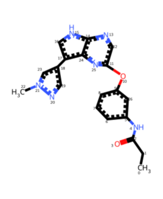 CCC(=O)Nc1cccc(Oc2cnc3[nH]cc(-c4cnn(C)c4)c3n2)c1